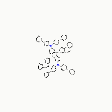 c1ccc(-c2ccc(N(c3ccc(-c4ccccc4)cc3)c3ccc4c(-c5ccc6c(ccc7ccccc76)c5)c5cc(N(c6ccc(-c7ccccc7)cc6)c6ccc(-c7ccccc7)cc6)ccc5c(-c5ccc6c(ccc7ccccc76)c5)c4c3)cc2)cc1